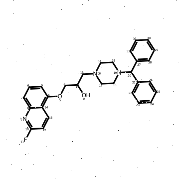 OC(COc1cccc2nc(F)ccc12)CN1CCN(C(c2ccccc2)c2ccccc2)CC1